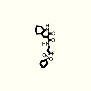 O=C(NC/C=C(\F)S(=O)(=O)c1ccccc1)c1cc2c([nH]c1=O)CCCC2